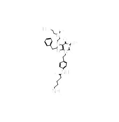 CCCn1c(=O)c2c(nc(Cc3ccccc3)n2CCN(CC)CCO)n(CCc2ccc(NC(=O)CCCCN)cc2)c1=O